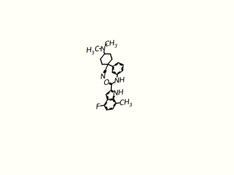 Cc1ccc(F)c2cc(C(=O)Nc3cccc(C4(C#N)CCC(N(C)C)CC4)c3)[nH]c12